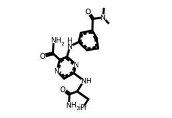 CC(C)CC(Nc1cnc(C(N)=O)c(Nc2cccc(C(=O)N(C)C)c2)n1)C(N)=O